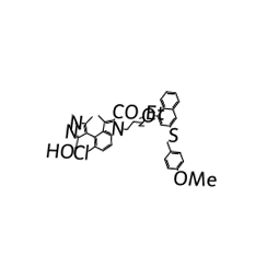 CCOC(=O)c1c(C)c2c(-c3c(CO)nn(C)c3C)c(Cl)ccc2n1CCCOc1cc(SCc2ccc(OC)cc2)cc2ccccc12